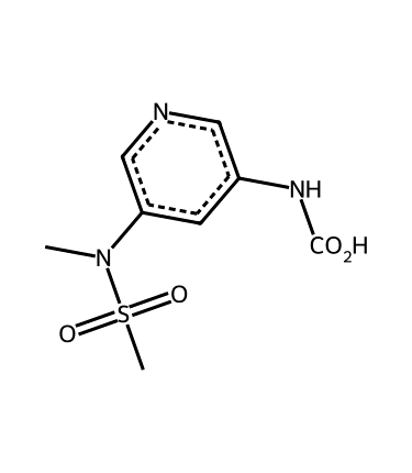 CN(c1cncc(NC(=O)O)c1)S(C)(=O)=O